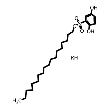 CCCCCCCCCCCCCCCCCCOS(=O)(=O)c1cc(O)ccc1O.[KH]